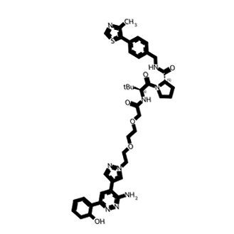 Cc1ncsc1-c1ccc(CNC(=O)[C@@H]2CCCN2C(=O)[C@@H](NC(=O)COCCOCCn2cc(-c3cc(C4=CC=CCC4O)nnc3N)cn2)C(C)(C)C)cc1